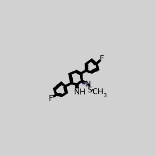 CS/N=C1\C(=N)C(c2ccc(F)cc2)=CC=C1c1ccc(F)cc1